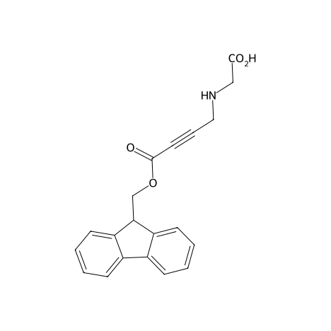 O=C(O)CNCC#CC(=O)OCC1c2ccccc2-c2ccccc21